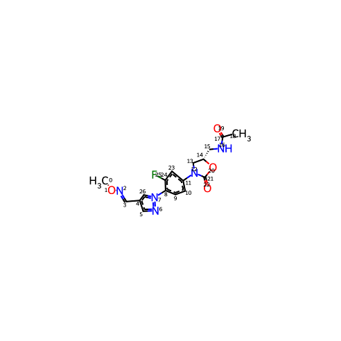 CON=Cc1cnn(-c2ccc(N3C[C@H](CNC(C)=O)OC3=O)cc2F)c1